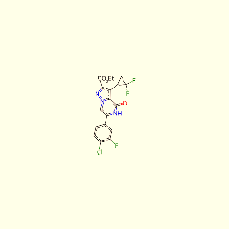 CCOC(=O)c1nn2cc(-c3ccc(Cl)c(F)c3)[nH]c(=O)c2c1C1CC1(F)F